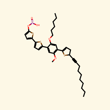 CCCCCCCCC#CC1CC=C(c2cc(OCCCCCC)c(-c3ccc(-c4ccc(O[PH](=O)O)s4)s3)cc2OC)S1